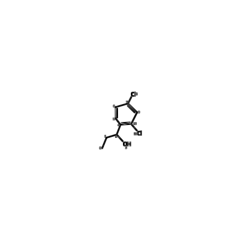 CCC(O)c1ccc(Cl)cc1Cl